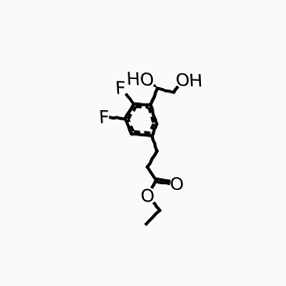 CCOC(=O)CCc1cc(F)c(F)c([C@H](O)CO)c1